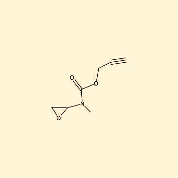 C#CCOC(=O)N(C)C1CO1